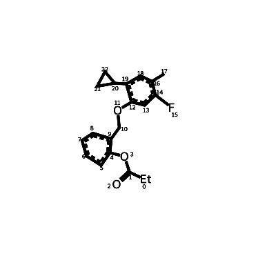 CCC(=O)Oc1ccccc1COc1cc(F)c(C)cc1C1CC1